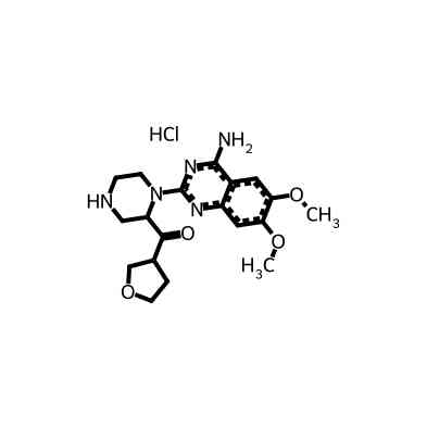 COc1cc2nc(N3CCNCC3C(=O)C3CCOC3)nc(N)c2cc1OC.Cl